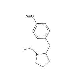 COc1ccc(CC2CCCN2SI)cc1